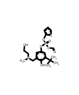 CN(CCO)Cc1cc(OP(=O)(OC=O)Oc2cccs2)cc(C(C)(C)C)c1O